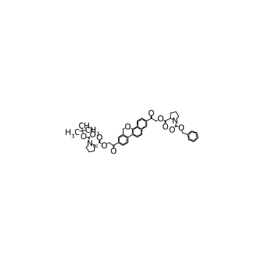 CC(C)(C)OC(=O)N1CCC[C@H]1C(=O)OCC(=O)c1ccc2c(c1)COc1c-2ccc2cc(C(=O)COC(=O)C3CCCN3C(=O)OCc3ccccc3)ccc12